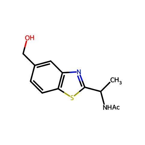 CC(=O)NC(C)c1nc2cc(CO)ccc2s1